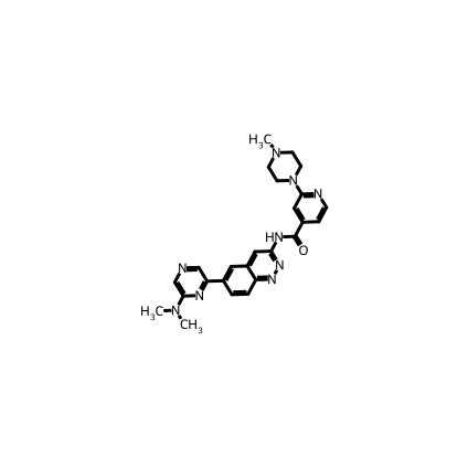 CN1CCN(c2cc(C(=O)Nc3cc4cc(-c5cncc(N(C)C)n5)ccc4nn3)ccn2)CC1